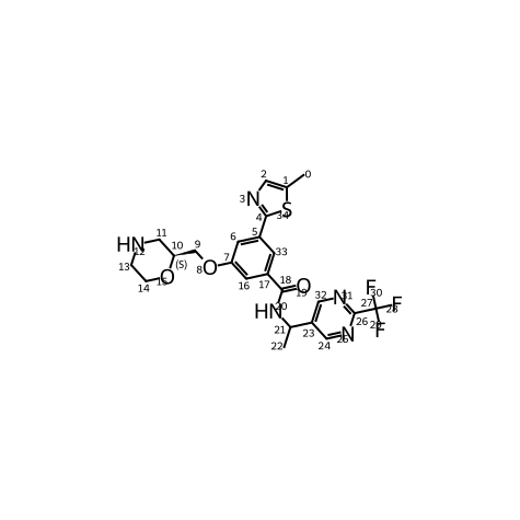 Cc1cnc(-c2cc(OC[C@@H]3CNCCO3)cc(C(=O)NC(C)c3cnc(C(F)(F)F)nc3)c2)s1